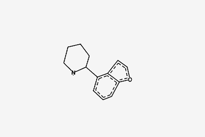 c1cc(C2CCCC[N]2)c2ccoc2c1